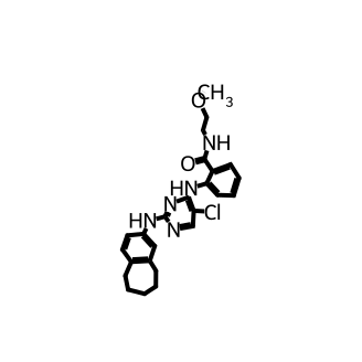 COCCNC(=O)c1ccccc1Nc1nc(Nc2ccc3c(c2)CCCCC3)ncc1Cl